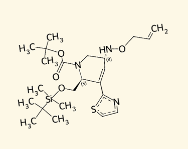 C=CCON[C@@H]1C=C(c2nccs2)[C@@H](CO[Si](C)(C)C(C)(C)C)N(C(=O)OC(C)(C)C)C1